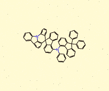 c1ccc(N(c2cccc3c2-c2ccccc2C3(c2ccccc2)c2ccccc2)c2cccc3c2-c2ccccc2C32c3ccccc3-n3c4ccccc4c4cccc2c43)cc1